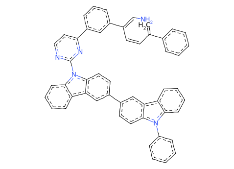 C=C(/C=C\C(=C/N)c1cccc(-c2ccnc(-n3c4ccccc4c4cc(-c5ccc6c(c5)c5ccccc5n6-c5ccccc5)ccc43)n2)c1)c1ccccc1